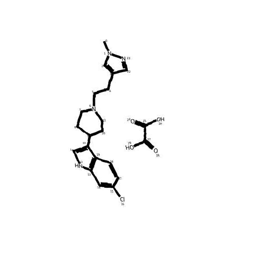 Cn1cc(CCN2CCC(c3c[nH]c4cc(Cl)ccc34)CC2)cn1.O=C(O)C(=O)O